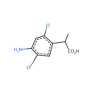 CC(C(=O)O)c1cc(Cl)c(N)cc1Cl